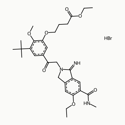 Br.CCOC(=O)CCCOc1cc(C(=O)CN2Cc3cc(OCC)c(C(=O)NC)cc3C2=N)cc(C(C)(C)C)c1OC